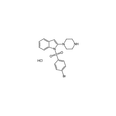 Cl.O=S(=O)(c1ccc(Br)cc1)n1c(N2CCNCC2)cc2ccccc21